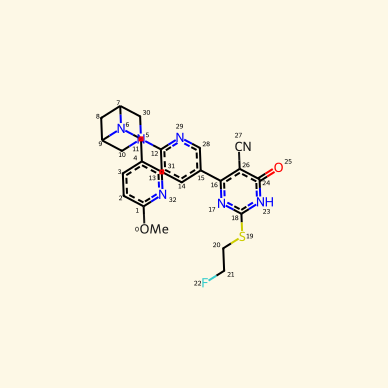 COc1ccc(CN2C3CC2CN(c2ccc(-c4nc(SCCF)[nH]c(=O)c4C#N)cn2)C3)cn1